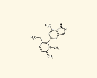 C=C1C=CC(CC)=C(c2cc(C)c3[nH]ncc3c2)N1C